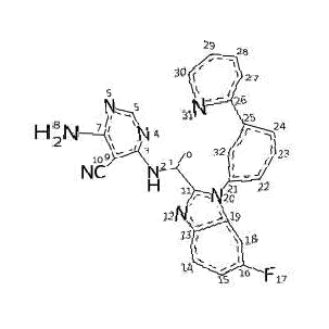 CC(Nc1ncnc(N)c1C#N)c1nc2ccc(F)cc2n1-c1cccc(-c2ccccn2)c1